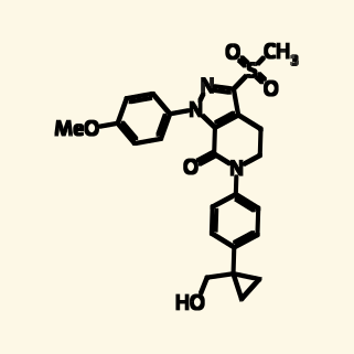 COc1ccc(-n2nc(S(C)(=O)=O)c3c2C(=O)N(c2ccc(C4(CO)CC4)cc2)CC3)cc1